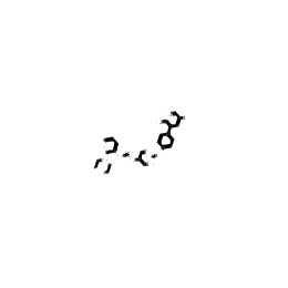 Nc1ncc(Cl)cc1-c1ccc(Oc2ncc(NC(=O)Nc3cccnc3N3CCOCC3)cn2)cc1